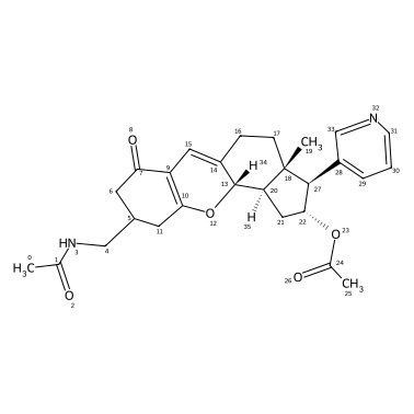 CC(=O)NCC1CC(=O)C2=C(C1)O[C@@H]1C(=C2)CC[C@@]2(C)[C@H]1C[C@@H](OC(C)=O)[C@@H]2c1cccnc1